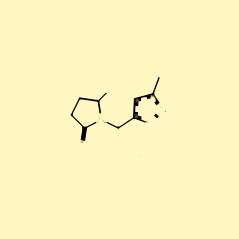 Cc1cc(CN2C(=O)CCC2C(=O)[O-])on1.[Fe].[Li+]